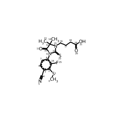 CSc1c(C#N)ccc(N2C(=O)C(C)(C)N(CCCC(=O)O)C2=S)c1F